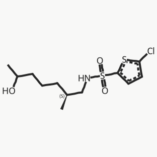 CC(O)CCC[C@H](C)CNS(=O)(=O)c1ccc(Cl)s1